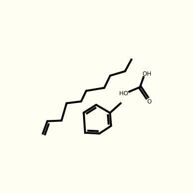 C=CCCCCCCCC.Cc1ccccc1.O=C(O)O